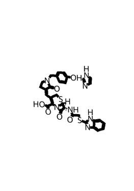 O=C(CSc1nc2ccccc2[nH]1)N[C@@H]1C(=O)N2C(C(=O)O)=C(C=C3CCN(Cc4ccc(O)cc4)C3=O)CS[C@H]12.c1c[nH]cn1